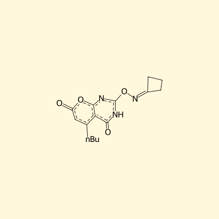 CCCCc1cc(=O)oc2nc(ON=C3CCC3)[nH]c(=O)c12